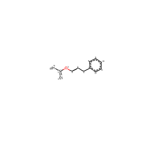 CCC[SiH](CC)OCCCc1ccccc1